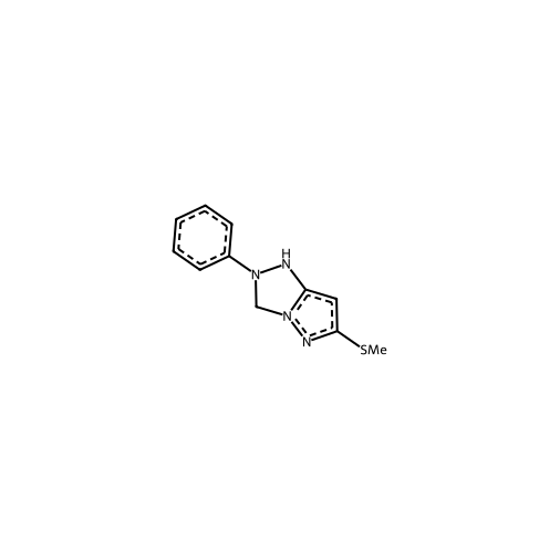 CSc1cc2n(n1)CN(c1ccccc1)N2